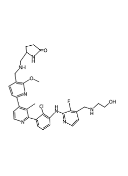 COc1nc(-c2ccnc(-c3cccc(Nc4nccc(CNCCO)c4F)c3Cl)c2C)ccc1CNCC1CCC(=O)N1